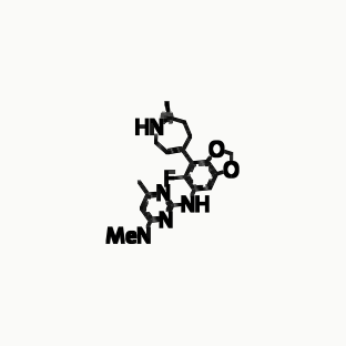 CNc1cc(C)nc(Nc2cc3c(c(C4=CCN[C@@H](C)CC4)c2F)OCO3)n1